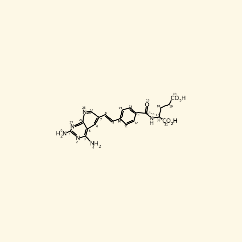 Nc1nc(N)c2cc(C=Cc3ccc(C(=O)N[C@@H](CCC(=O)O)C(=O)O)cc3)cnc2n1